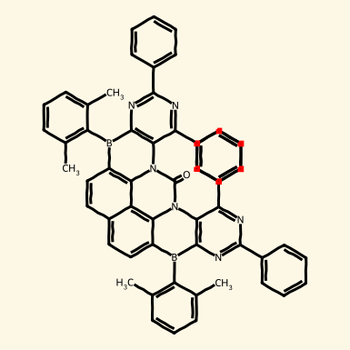 Cc1cccc(C)c1B1c2ccc3ccc4c5c3c2N(C(=O)N5c2c(nc(-c3ccccc3)nc2-c2ccccc2)B4c2c(C)cccc2C)c2c1nc(-c1ccccc1)nc2-c1ccccc1